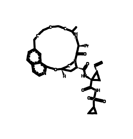 C=C[C@@H]1C[C@]1(NC(=O)[C@@H]1C[C@@H]2CN1C(=O)[C@H](C(C)C)NC(C)CCCCCCc1ccc3ccnc(c3c1)O2)C(=O)NS(=O)(=O)C1CC1